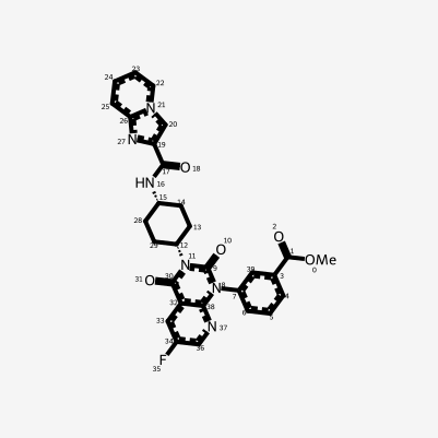 COC(=O)c1cccc(-n2c(=O)n([C@H]3CC[C@@H](NC(=O)c4cn5ccccc5n4)CC3)c(=O)c3cc(F)cnc32)c1